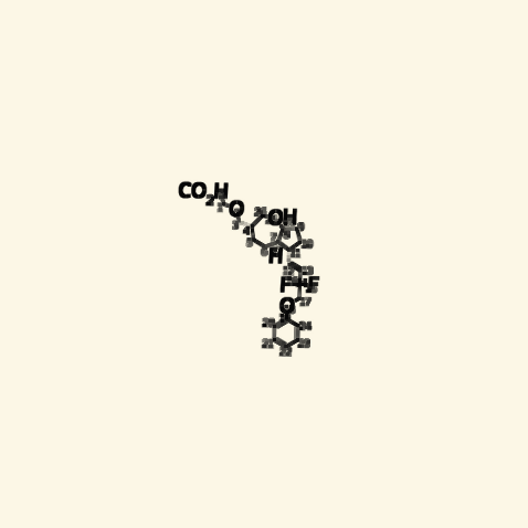 O=C(O)COC[C@H]1CC[C@H]2[C@H](CC[C@@H]2/C=C/C(F)(F)COc2ccccc2)OC1